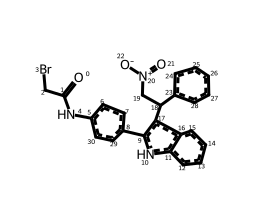 O=C(CBr)Nc1ccc(-c2[nH]c3ccccc3c2C(C[N+](=O)[O-])c2ccccc2)cc1